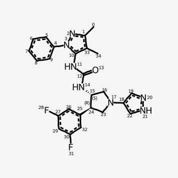 Cc1nn(-c2ccccc2)c(NC(=O)N[C@@H]2CN(c3cn[nH]c3)C[C@H]2c2cc(F)cc(F)c2)c1C